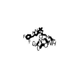 COC[C@@H]1CN(C[C@H]2CN[C@H](C)CN2CC(=O)N2CC(C)(C)c3nnc(Cc4ccc(F)cc4F)cc32)C(=O)CO1